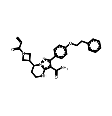 C=CC(=O)N1CC(C2CCNc3c(C(N)=O)c(-c4ccc(OCCc5ccccc5)cc4)nn32)C1